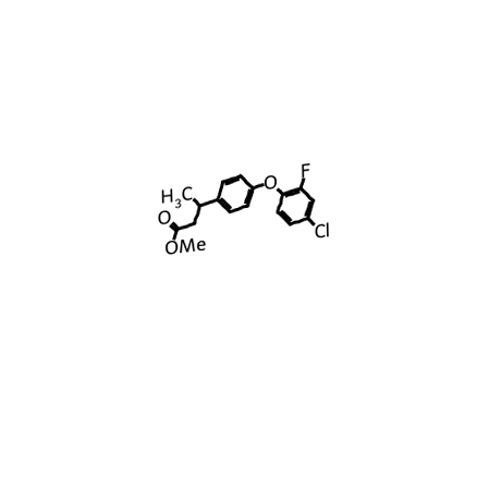 COC(=O)CC(C)c1ccc(Oc2ccc(Cl)cc2F)cc1